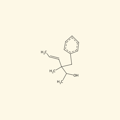 C/C=C/C(C)(Cc1ccccc1)C(C)O